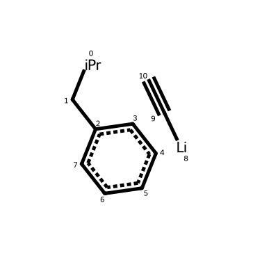 CC(C)Cc1ccccc1.[Li][C]#C